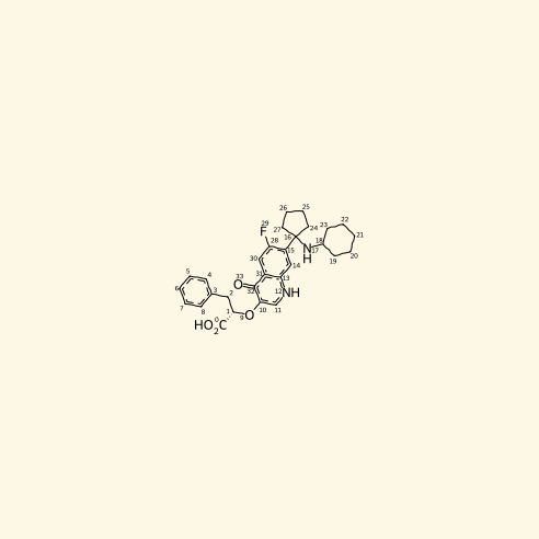 O=C(O)[C@H](Cc1ccccc1)Oc1c[nH]c2cc(C3(NC4CCCCC4)CCCC3)c(F)cc2c1=O